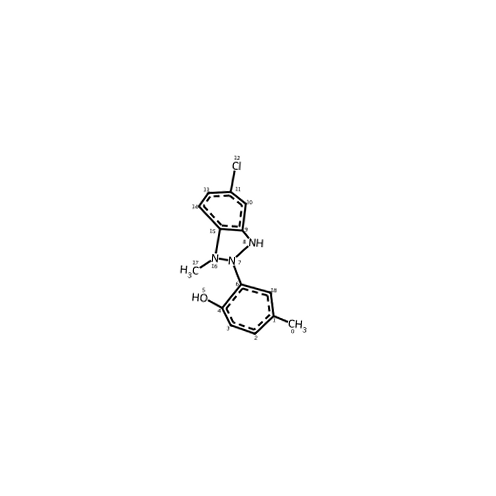 Cc1ccc(O)c(N2Nc3cc(Cl)ccc3N2C)c1